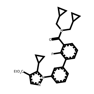 CCOC(=O)c1cnn(-c2cccc(-c3cccc(C(=O)N(CC4CC4)CC4CC4)c3F)c2)c1C1CC1